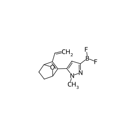 C=CC1=C(c2cc(B(F)F)nn2C)C2CCC1O2